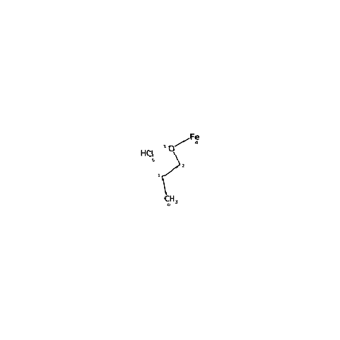 CCC[O][Fe].Cl